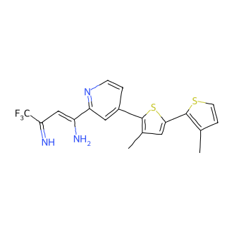 Cc1cc(-c2sccc2C)sc1-c1ccnc(/C(N)=C/C(=N)C(F)(F)F)c1